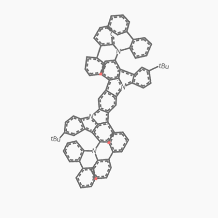 CC(C)(C)c1ccc2c(c1)c1c(N(c3ccccc3-c3ccccc3)c3ccccc3-c3ccccc3)ccc3c4cc5c(cc4n2c31)c1ccc(N(c2ccccc2-c2ccccc2)c2ccccc2-c2ccccc2)c2c3cc(C(C)(C)C)ccc3n5c12